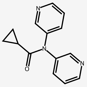 O=C(C1CC1)N(c1cccnc1)c1cccnc1